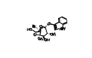 OC[C@@]1(Br)O[C@H](Oc2c[nH]c3ccccc23)[C@H](O)[C@@H](O)[C@@]1(O)Cl